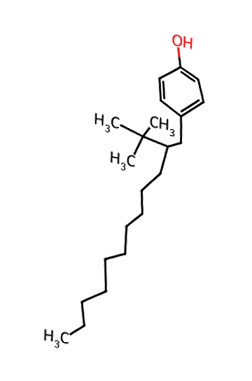 CCCCCCCCCCC(Cc1ccc(O)cc1)C(C)(C)C